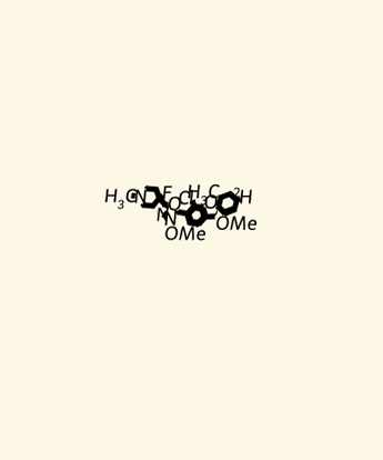 [2H]C1C=C(OC)[C@]2(Cc3c(OC)cc(-c4nnc(C5(F)CCN(C)CC5)o4)c(Cl)c3O2)[C@H](C)C1